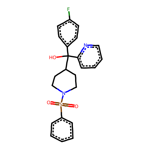 O=S(=O)(c1ccccc1)N1CCC(C(O)(c2ccc(F)cc2)c2ccccn2)CC1